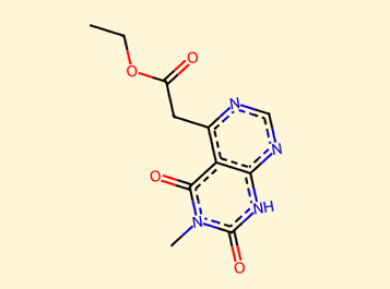 CCOC(=O)Cc1ncnc2[nH]c(=O)n(C)c(=O)c12